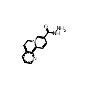 NNC(=O)C1=CN2CC=c3cccnc3=C2C=C1